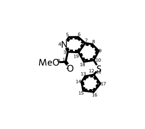 COC(=O)c1nccc2ccc(Sc3ccccc3)cc12